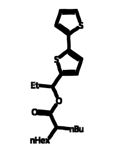 CCCCCCC(CCCC)C(=O)OC(CC)c1ccc(-c2cccs2)s1